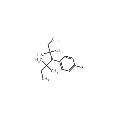 CCC(C)(C)P(c1ccc(F)cc1)C(C)(C)CC